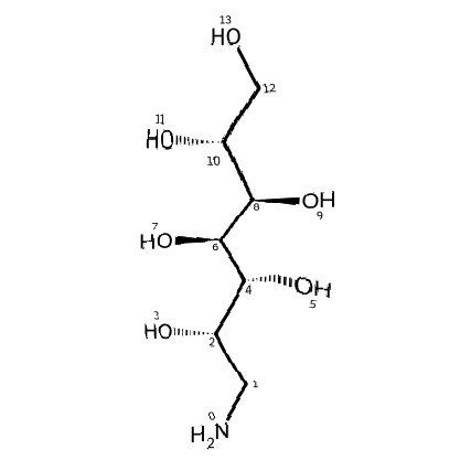 NC[C@H](O)[C@@H](O)[C@@H](O)[C@H](O)[C@H](O)CO